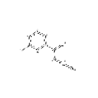 Cc1cccc(C(=O)N=C=O)c1